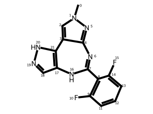 Cn1cc2c(n1)N=C(c1c(F)cccc1F)Nc1cn[nH]c1-2